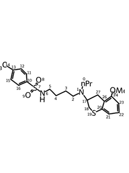 CCCN(CCCCNS(=O)(=O)c1ccc(C)cc1)C1CSc2cccc(OC)c2C1